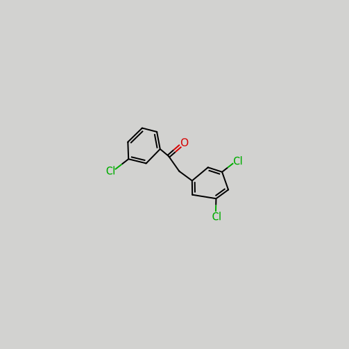 O=C(Cc1cc(Cl)cc(Cl)c1)c1cccc(Cl)c1